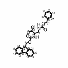 O=C(NCC(NC(=O)OCC1c2ccccc2-c2ccccc21)C(=O)O)OCc1ccccc1